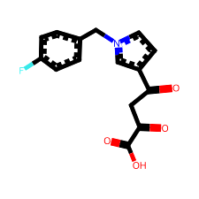 O=C(O)C(=O)CC(=O)c1ccn(Cc2ccc(F)cc2)c1